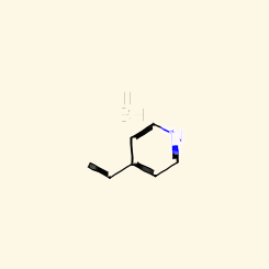 B.C=Cc1ccncc1.[HH]